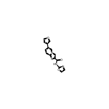 O=C(Nc1ncco1)c1cn2cc(-c3ccoc3)ccc2n1